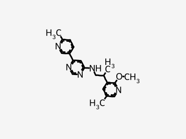 COc1ncc(C)cc1C(C)CNc1cc(-c2ccc(C)nc2)ncn1